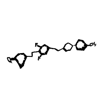 Cc1ccc([C@H]2CC[C@H](CCc3cc(F)c(CCc4ccc(Cl)cc4)c(F)c3)CC2)cc1